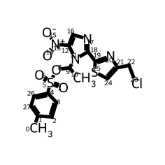 Cc1ccc(S(=O)(=O)OC(C)n2c([N+](=O)[O-])cnc2-c2nc(CCl)cs2)cc1